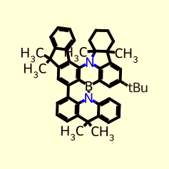 CC(C)(C)c1cc2c3c(c1)C1(C)CCCCC1(C)N3c1c3c(cc4c1-c1ccccc1C4(C)C)-c1cccc4c1N(B23)c1ccccc1C4(C)C